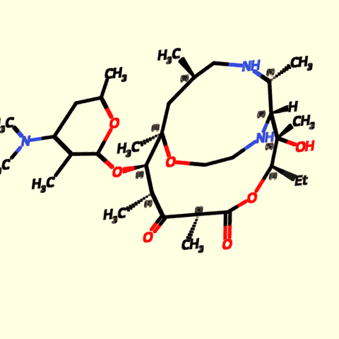 CC[C@H]1OC(=O)[C@H](C)C(=O)[C@H](C)[C@@H](OC2OC(C)CC(N(C)C)C2C)[C@@]2(C)C[C@@H](C)CN[C@H](C)[C@@H](NCCO2)[C@]1(C)O